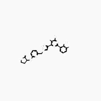 Cc1cccc(-c2nc(N)c(F)c(-c3cn(Cc4cccc(NC5CCOC5=O)n4)nn3)n2)c1C